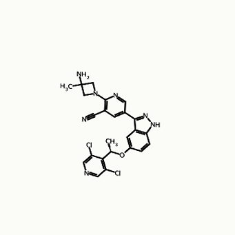 C[C@@H](Oc1ccc2[nH]nc(-c3cnc(N4CC(C)(N)C4)c(C#N)c3)c2c1)c1c(Cl)cncc1Cl